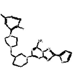 Cc1ccc(F)c(N2CCN(CC3CCCN(c4nc(N)n5nc(-c6ccco6)nc5n4)C3)CC2)c1